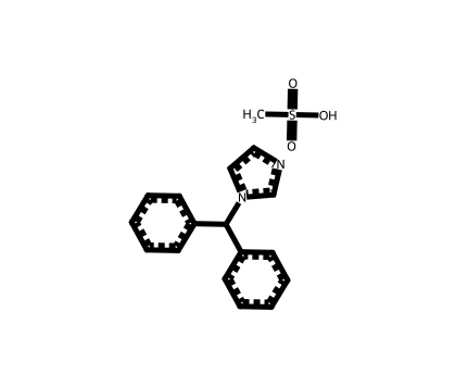 CS(=O)(=O)O.c1ccc(C(c2ccccc2)n2ccnc2)cc1